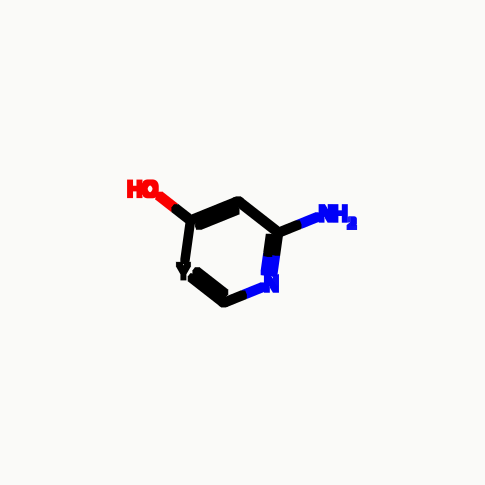 NC1=N[CH]=[Y][C](O)=C1